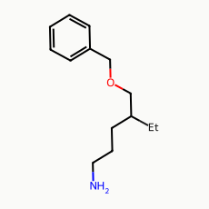 CCC(CCCN)COCc1ccccc1